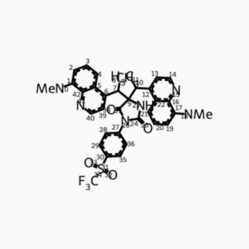 CNc1cccc2c(C(C)C3(C(C)c4ccnc5c(NC)cccc45)NC(=O)N(c4ccc(S(=O)(=O)C(F)(F)F)cc4)C3=O)ccnc12